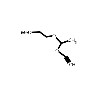 C#COC(C)OCCOC